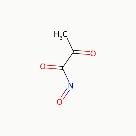 CC(=O)C(=O)N=O